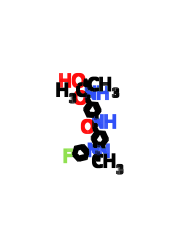 Cc1nc2ccc(C(=O)Nc3ccc(C(=O)NC(C)(C)CO)cc3)cc2n1C1=CCC(F)C=C1